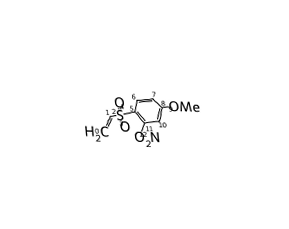 C=CS(=O)(=O)c1ccc(OC)cc1[N+](=O)[O-]